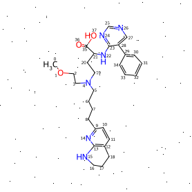 COCCN(CCCCc1ccc2c(n1)NCCC2)CCC(Nc1ncncc1-c1ccccc1)C(=O)O